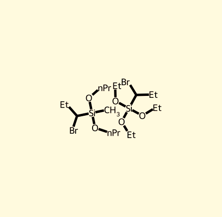 CCCO[Si](C)(OCCC)C(Br)CC.CCO[Si](OCC)(OCC)C(Br)CC